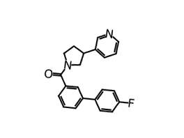 O=C(c1cccc(-c2ccc(F)cc2)c1)N1CCC(c2cccnc2)C1